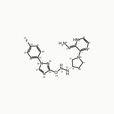 N/N=c1\[nH]ccnc1N1CC[C@H](NNOc2ncn(-c3ccc(F)cc3)n2)C1